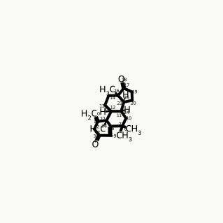 C=C1CC(=O)C=C2C(C)(C)C[C@@H]3[C@@H](CC[C@]4(C)C(=O)CC[C@@H]34)[C@@]12C